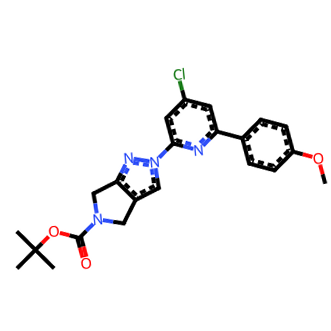 COc1ccc(-c2cc(Cl)cc(-n3cc4c(n3)CN(C(=O)OC(C)(C)C)C4)n2)cc1